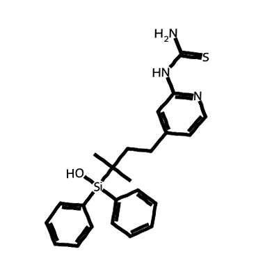 CC(C)(CCc1ccnc(NC(N)=S)c1)[Si](O)(c1ccccc1)c1ccccc1